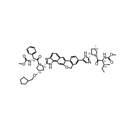 CC[C@H](C)[C@H](NC(=O)OC)C(=O)N1C[C@@H](C)C[C@H]1c1ncc(-c2ccc3c(c2)COc2cc4c(ccc5nc([C@@H]6C[C@H](COCC7CCCC7)CN6C(=O)[C@H](NC(=O)OC)c6ccccc6)[nH]c54)cc2-3)[nH]1